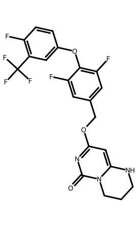 O=c1nc(OCc2cc(F)c(Oc3ccc(F)c(C(F)(F)F)c3)c(F)c2)cc2n1CCCN2